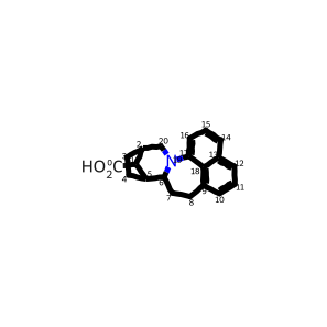 O=C(O)C1C2CCC1C1CCc3cccc4cccc(c34)N1C2